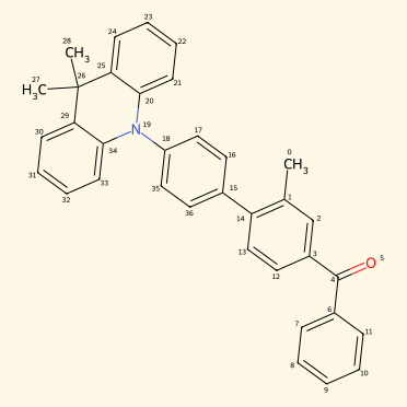 Cc1cc(C(=O)c2ccccc2)ccc1-c1ccc(N2c3ccccc3C(C)(C)c3ccccc32)cc1